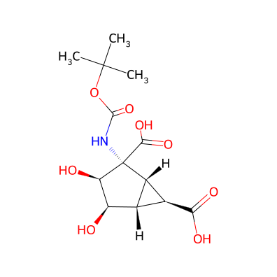 CC(C)(C)OC(=O)N[C@]1(C(=O)O)[C@@H]2[C@@H](C(=O)O)[C@@H]2[C@@H](O)[C@H]1O